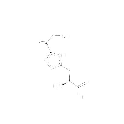 C[C@H](N)C(=O)c1ncc(C[C@H](N)C(=O)O)[nH]1